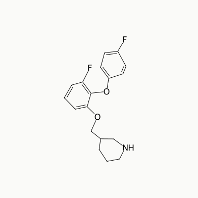 Fc1ccc(Oc2c(F)cccc2OCC2CCCNC2)cc1